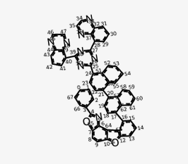 c1ccc(-c2nc3c(ccc4oc5cccc(-c6ccc(-c7ccc(-c8nc(-c9cccc%10nccnc9%10)nc(-c9cccc%10nccnc9%10)n8)c8ccccc78)c7ccccc67)c5c43)o2)cc1